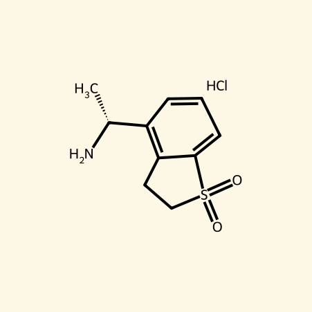 C[C@@H](N)c1cccc2c1CCS2(=O)=O.Cl